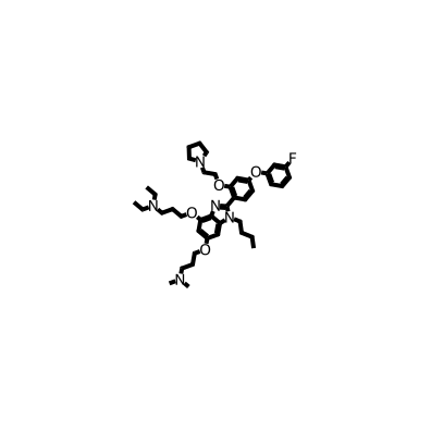 CCCCn1c(-c2ccc(Oc3cccc(F)c3)cc2OCCN2CCCC2)nc2c(OCCCN(CC)CC)cc(OCCCN(C)C)cc21